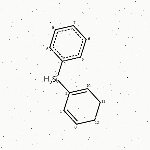 C1=CC([SiH2]c2ccccc2)=CCC1